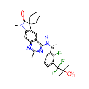 CCC1(CC)C(=O)N(C)c2cc3nc(C)nc(N[C@H](C)c4cccc(C(F)(F)C(C)(C)O)c4F)c3cc21